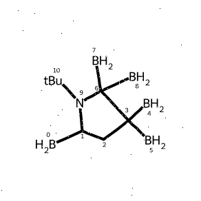 BC1CC(B)(B)C(B)(B)N1C(C)(C)C